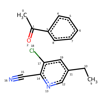 CC(=O)c1ccccc1.CCc1cnc(C#N)c(Cl)c1